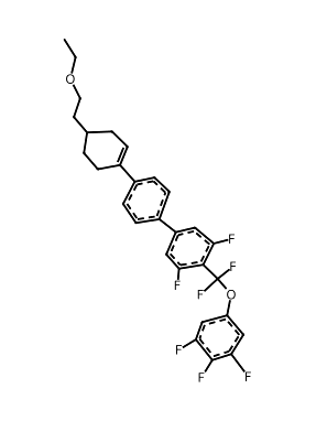 CCOCCC1CC=C(c2ccc(-c3cc(F)c(C(F)(F)Oc4cc(F)c(F)c(F)c4)c(F)c3)cc2)CC1